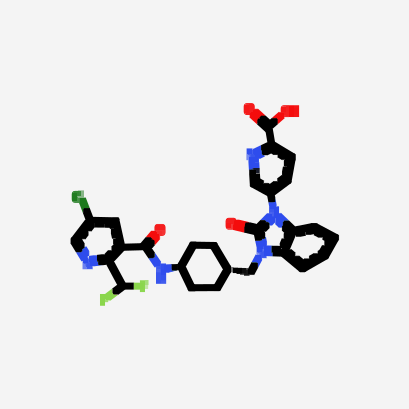 O=C(O)c1ccc(-n2c(=O)n(C[C@H]3CC[C@H](NC(=O)c4cc(Cl)cnc4C(F)F)CC3)c3ccccc32)cn1